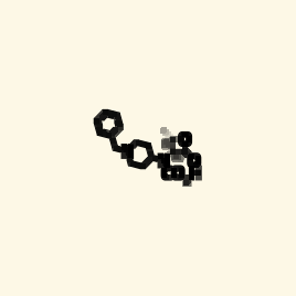 C[C@@H]1OC(=O)[C@@H]1N(C(=O)O)C1CCN(Cc2ccccc2)CC1